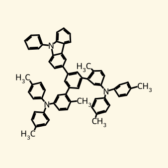 Cc1ccc(N(c2ccc(C)cc2)c2ccc(C)c(-c3cc(-c4ccc5c(c4)c4ccccc4n5-c4ccccc4)cc(-c4cc(N(c5ccc(C)cc5)c5ccc(C)cc5)ccc4C)c3)c2)cc1